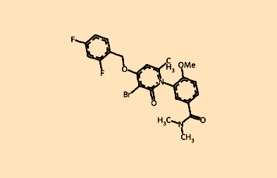 COc1ccc(C(=O)N(C)C)cc1-n1c(C)cc(OCc2ccc(F)cc2F)c(Br)c1=O